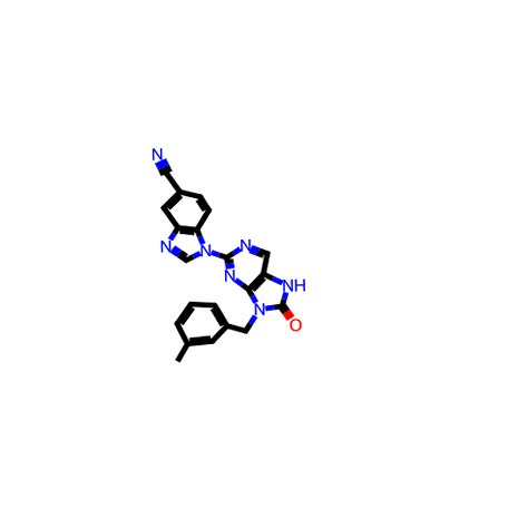 Cc1cccc(Cn2c(=O)[nH]c3cnc(-n4cnc5cc(C#N)ccc54)nc32)c1